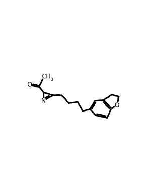 CC(=O)C1N=C1CCCCc1ccc2c(c1)CCO2